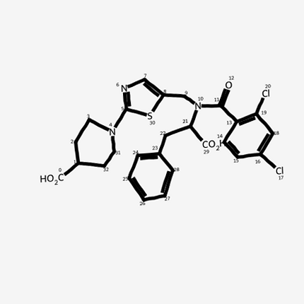 O=C(O)C1CCN(c2ncc(CN(C(=O)c3ccc(Cl)cc3Cl)C(Cc3ccccc3)C(=O)O)s2)CC1